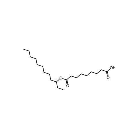 CCCCCCCCCC(CC)OC(=O)CCCCCCCC(=O)O